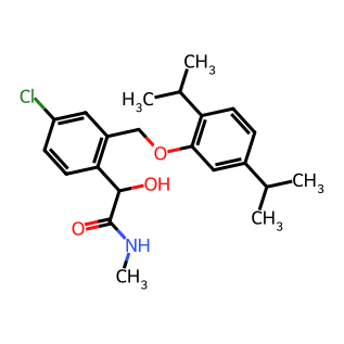 CNC(=O)C(O)c1ccc(Cl)cc1COc1cc(C(C)C)ccc1C(C)C